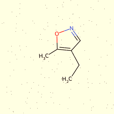 [CH2]Cc1cnoc1C